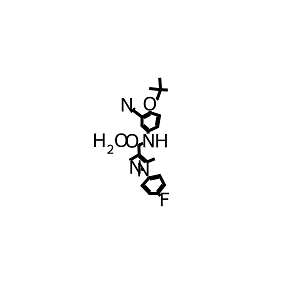 Cc1c(C(=O)Nc2ccc(OCC(C)(C)C)c(C#N)c2)cnn1-c1ccc(F)cc1.O